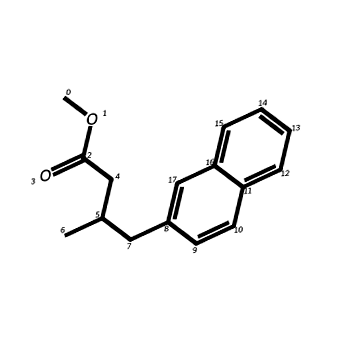 COC(=O)CC(C)Cc1ccc2ccccc2c1